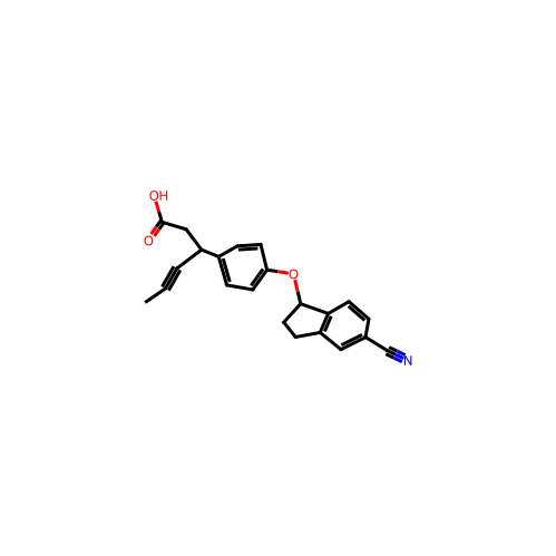 CC#CC(CC(=O)O)c1ccc(OC2CCc3cc(C#N)ccc32)cc1